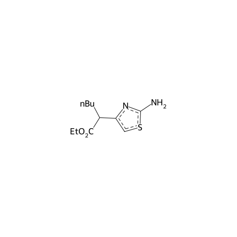 CCCCC(C(=O)OCC)c1csc(N)n1